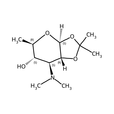 C[C@H]1O[C@H]2OC(C)(C)O[C@@H]2[C@@H](N(C)C)[C@@H]1O